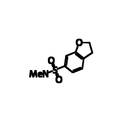 CNS(=O)(=O)c1ccc2c(c1)OCC2